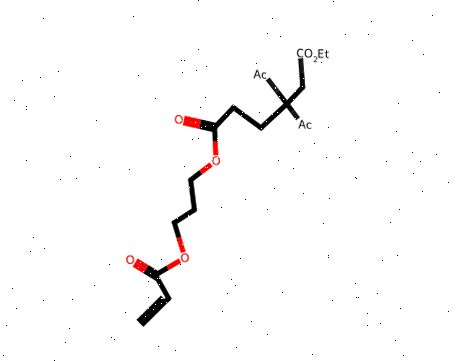 C=CC(=O)OCCCOC(=O)CCC(CC(=O)OCC)(C(C)=O)C(C)=O